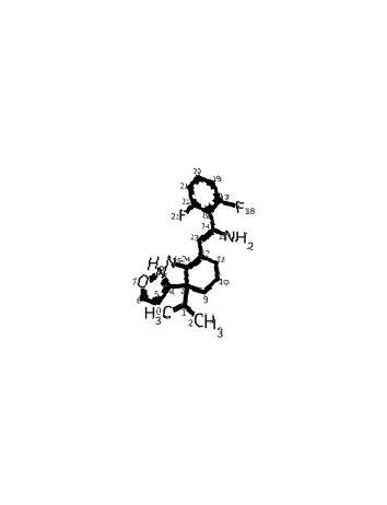 CC(C)C1(c2ccon2)CCCC(/C=C(\N)c2c(F)cccc2F)=C1N